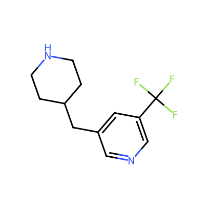 FC(F)(F)c1cncc(CC2CCNCC2)c1